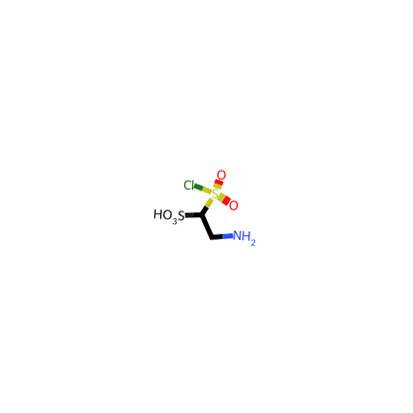 NCC(S(=O)(=O)O)S(=O)(=O)Cl